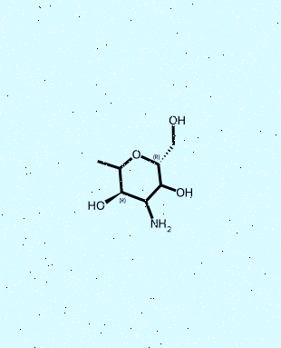 CC1O[C@H](CO)C(O)C(N)[C@H]1O